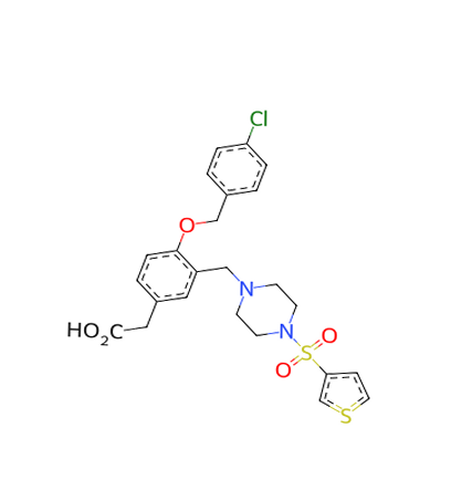 O=C(O)Cc1ccc(OCc2ccc(Cl)cc2)c(CN2CCN(S(=O)(=O)c3ccsc3)CC2)c1